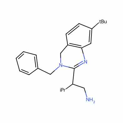 CC(C)C(CN)C1=Nc2cc(C(C)(C)C)ccc2CN1Cc1ccccc1